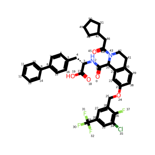 O=C(N[C@@H](Cc1ccc(-c2ccccc2)cc1)C(=O)O)C1c2cc(OCc3cc(C(F)(F)F)cc(Cl)c3F)ccc2CCN1C(=O)CC1CCCC1